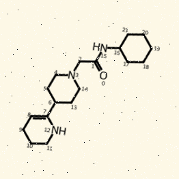 O=C(CN1CCC(C2=CCCCN2)CC1)NC1CCCCC1